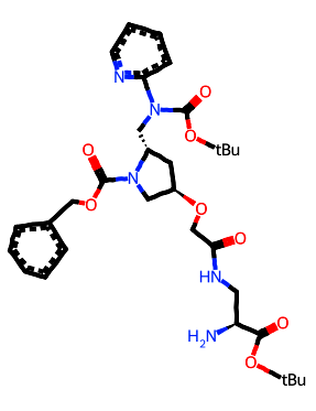 CC(C)(C)OC(=O)[C@@H](N)CNC(=O)CO[C@@H]1C[C@@H](CN(C(=O)OC(C)(C)C)c2ccccn2)N(C(=O)OCc2ccccc2)C1